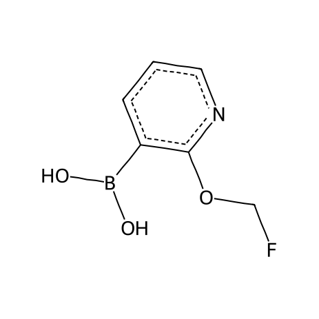 OB(O)c1cccnc1OCF